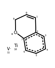 C1=Cc2ccccc2OC1.[Ti].[V]